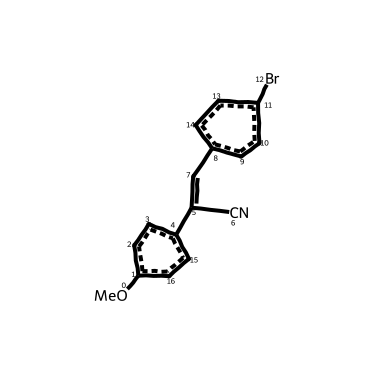 COc1ccc(/C(C#N)=C/c2ccc(Br)cc2)cc1